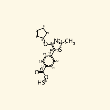 Cc1nc(OC2CCCC2)c(-c2ccc(C(=O)OS)cc2)s1